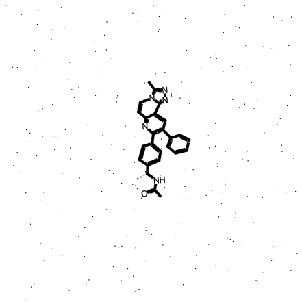 CC(=O)N[C@H](C)c1ccc(-c2nc3ccn4c(C)nnc4c3cc2-c2ccccc2)cc1